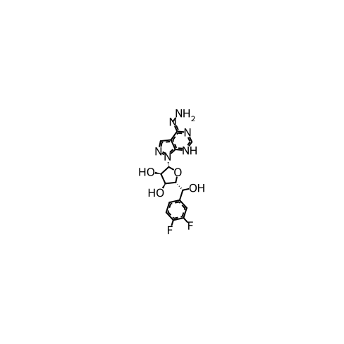 NN=c1nc[nH]c2c1cnn2[C@@H]1O[C@H](C(O)c2ccc(F)c(F)c2)[C@@H](O)[C@H]1O